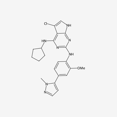 COc1cc(-c2ccnn2C)ccc1Nc1nc(NC2CCCC2)c2c(Cl)c[nH]c2n1